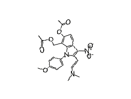 COc1ccc(-n2c(C=CN(C)C)c([N+](=O)[O-])c3ccc(OC(C)=O)c(COC(C)=O)c32)cc1